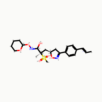 C/C=C/c1ccc(C2=NO[C@@H](C[C@](C)(C(O)NOC3CCCCO3)S(C)(=O)=O)C2)cc1